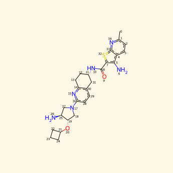 Cc1ccc2c(N)c(C(=O)N[C@H]3CCc4nc(N5C[C@H](OC6CCC6)[C@@H](N)C5)ccc4C3)sc2n1